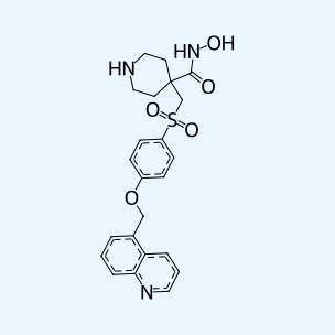 O=C(NO)C1(CS(=O)(=O)c2ccc(OCc3cccc4ncccc34)cc2)CCNCC1